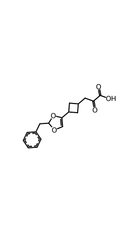 O=C(O)C(=O)CC1CC(C2=COC(Cc3ccccc3)O2)C1